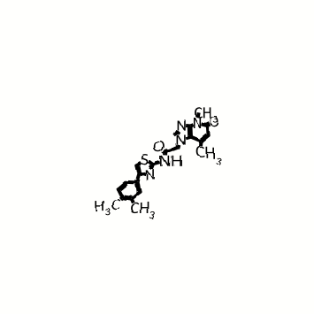 Cc1ccc(-c2csc(NC(=O)Cn3cnc4c3c(C)cc(=O)n4C)n2)cc1C